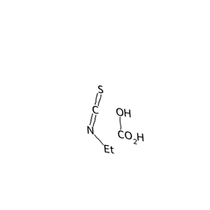 CCN=C=S.O=C(O)O